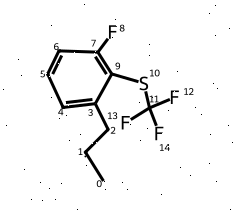 C[CH]Cc1cccc(F)c1SC(F)(F)F